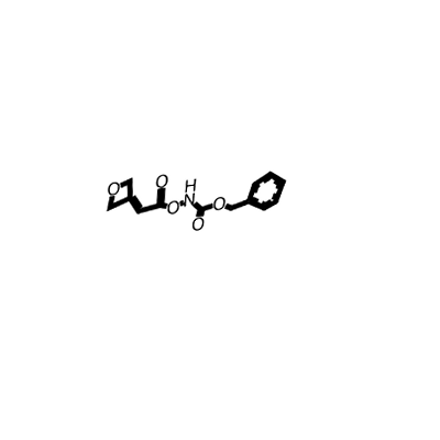 O=C(C=C1COC1)ONC(=O)OCc1ccccc1